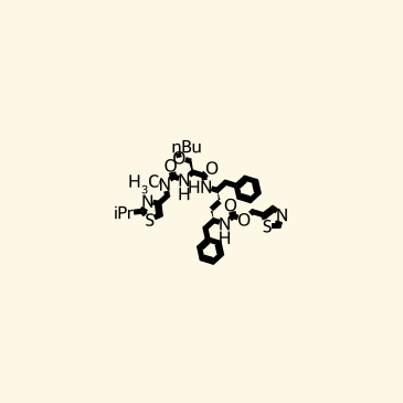 CCCCOC[C@H](NC(=O)N(C)Cc1csc(C(C)C)n1)C(=O)N[C@@H](CC[C@@H](Cc1ccccc1)NC(=O)OCc1cncs1)Cc1ccccc1